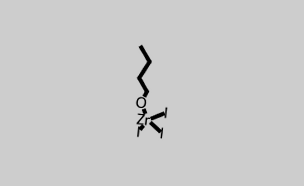 CCCC[O][Zr]([I])([I])[I]